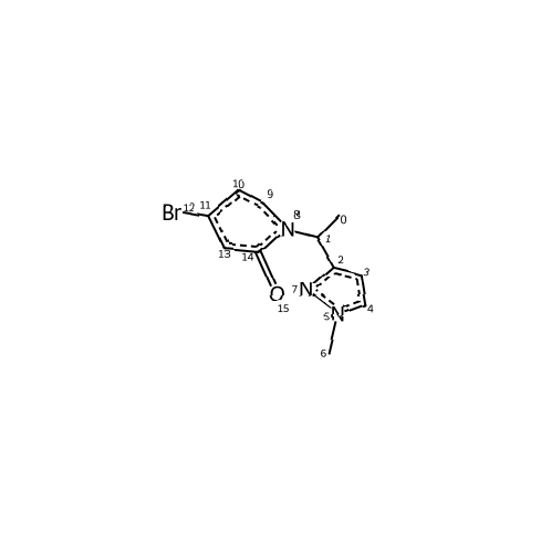 CC(c1ccn(C)n1)n1ccc(Br)cc1=O